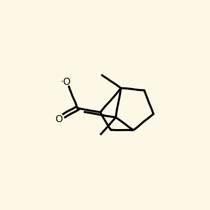 CC1(C)C2CCC1(C)C(C([O])=O)C2